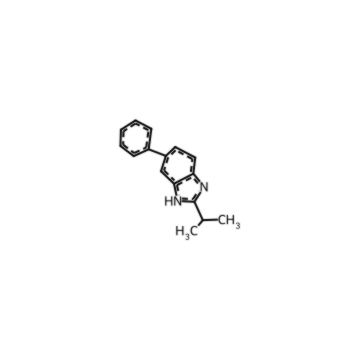 CC(C)c1nc2ccc(-c3ccccc3)cc2[nH]1